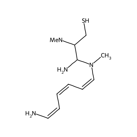 CNC(CS)C(N)N(C)\C=C/C=C\C=C/N